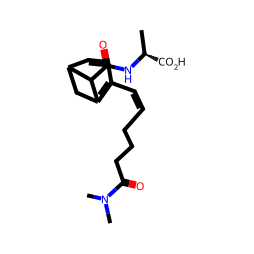 C[C@H](NC(=O)C1C2=C(/C=C\CCCC(=O)N(C)C)C=CC1C2)C(=O)O